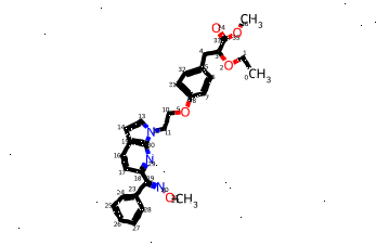 CCOC(Cc1ccc(OCCn2ccc3ccc(C(=NOC)c4ccccc4)nc32)cc1)C(=O)OC